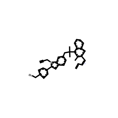 C#CCn1c(-c2ccc(CC(C)CC)cc2)cc2ccc(CC(C)(C)c3c(C)c(/C=C\C=C)cc4ccccc34)cc21